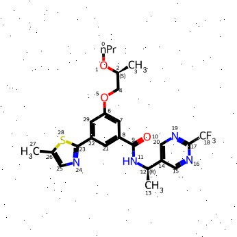 CCCO[C@@H](C)COc1cc(C(=O)N[C@H](C)c2cnc(C(F)(F)F)nc2)cc(-c2ncc(C)s2)c1